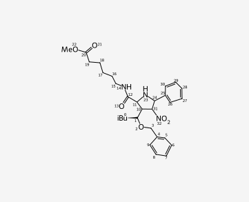 CC[C@H](C)C(OCc1ccccc1)C1C(C(=O)NCCCCCC(=O)OC)NC(c2ccccc2)C1[N+](=O)[O-]